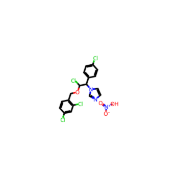 Clc1ccc(C(C(Cl)OCc2ccc(Cl)cc2Cl)n2ccnc2)cc1.O=[N+]([O-])O